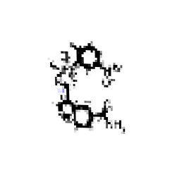 Cc1ccc([N+](=O)[O-])cc1S(=O)(=O)N(C)/N=C/c1cnn2ccc(C(N)=O)cc12